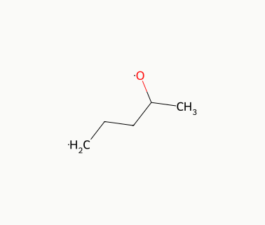 [CH2]CCC(C)[O]